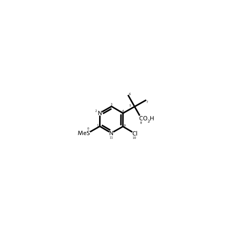 CSc1ncc(C(C)(C)C(=O)O)c(Cl)n1